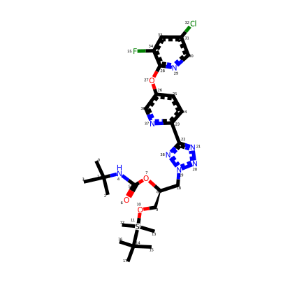 CC(C)(C)NC(=O)O[C@H](CO[Si](C)(C)C(C)(C)C)Cn1nnc(-c2ccc(Oc3ncc(Cl)cc3F)cn2)n1